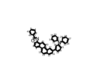 c1ccc(-c2nc3c(ccc4c5ccc6ccc(-c7cccc(N(c8ccccc8)c8ccccc8)c7)cc6c5ccc43)o2)cc1